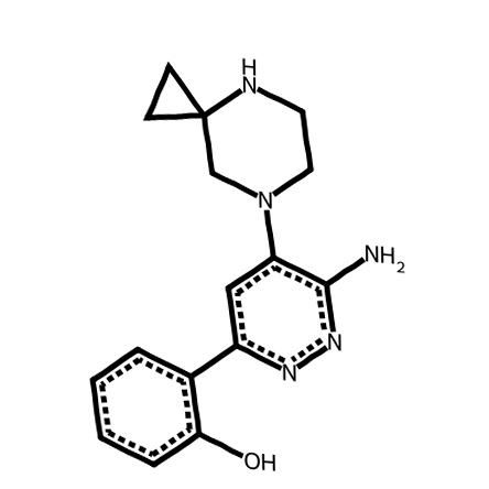 Nc1nnc(-c2ccccc2O)cc1N1CCNC2(CC2)C1